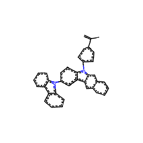 C=C(C)c1ccc(-n2c3ccc(-n4c5ccccc5c5ccccc54)cc3c3cc4ccccc4cc32)cc1